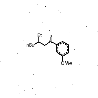 CCCCC(CC)CN(C)c1cccc(OC)c1